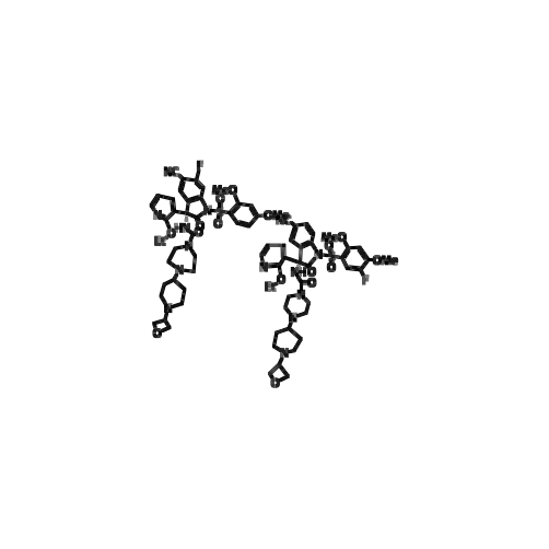 CCOc1ncccc1[C@]1(NC(=O)N2CCN(C3CCN(C4COC4)CC3)CC2)C(=O)N(S(=O)(=O)c2cc(F)c(OC)cc2OC)c2ccc(C#N)cc21.CCOc1ncccc1[C@]1(NC(=O)N2CCN(C3CCN(C4COC4)CC3)CC2)C(=O)N(S(=O)(=O)c2ccc(OC)cc2OC)c2cc(F)c(C#N)cc21